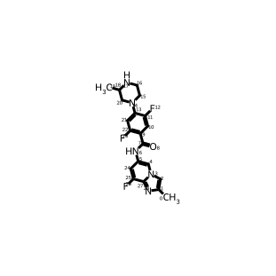 Cc1cn2cc(NC(=O)c3cc(F)c(N4CCNC(C)C4)cc3F)cc(F)c2n1